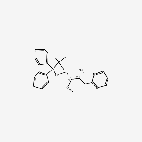 CO[C@H](CO[Si](c1ccccc1)(c1ccccc1)C(C)(C)C)[C@H](N)Cc1ncccn1